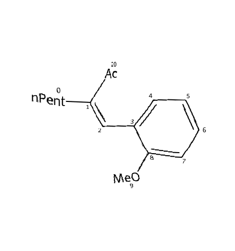 CCCCCC(=Cc1ccccc1OC)C(C)=O